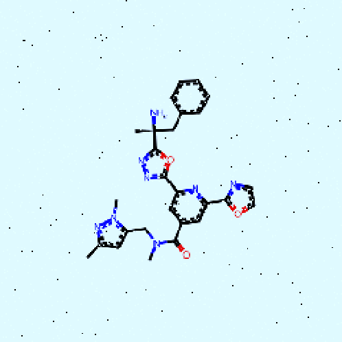 Cc1cc(CN(C)C(=O)c2cc(-c3ncco3)nc(-c3nnc([C@](C)(N)Cc4ccccc4)o3)c2)n(C)n1